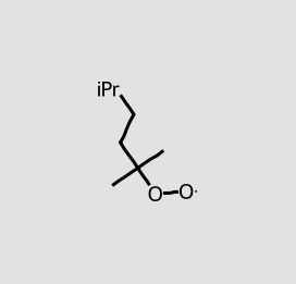 CC(C)CCC(C)(C)O[O]